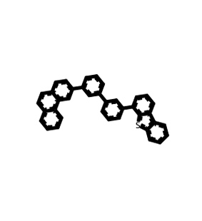 c1cc(-c2cccc(-c3cccc4c3sc3ccccc34)c2)cc(-c2ccc3ccc4ccccc4c3c2)c1